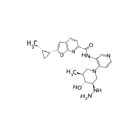 C[C@H]1CN(c2ccncc2NC(=O)c2ccc3cc([C@@H]4C[C@@H]4C)oc3n2)C[C@@H](NN)[C@@H]1O